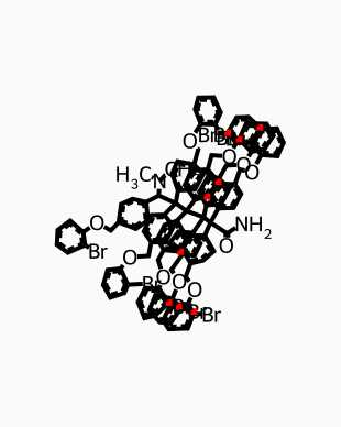 CN(C)C(c1ccc(COc2ccccc2Br)cc1)C(c1ccc(COc2ccccc2Br)cc1)(c1ccc(COc2ccccc2Br)cc1)C(c1ccc(COc2ccccc2Br)cc1)(c1ccc(COc2ccccc2Br)cc1)C(c1ccc(COc2ccccc2Br)cc1)(c1ccc(COc2ccccc2Br)cc1)C(C(N)=O)(c1ccc(COc2ccccc2Br)cc1)c1ccc(COc2ccccc2Br)cc1